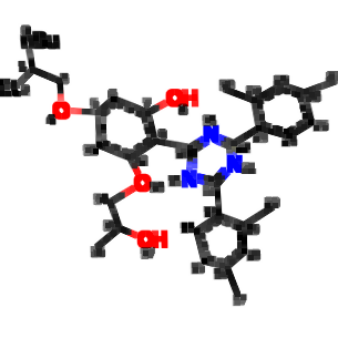 CCCCC(CC)COc1cc(O)c(-c2nc(-c3ccc(C)cc3C)nc(-c3ccc(C)cc3C)n2)c(OCC(C)O)c1